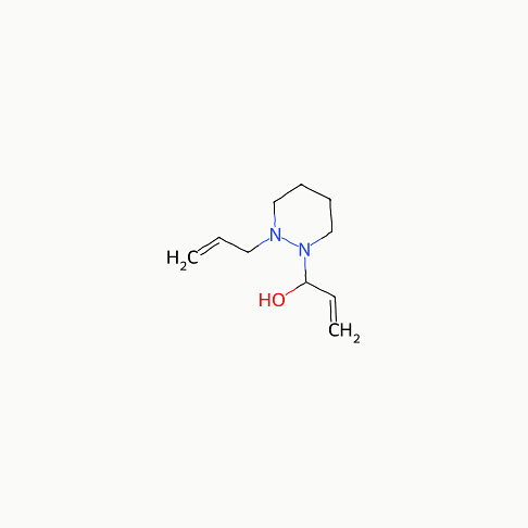 C=CCN1CCCCN1C(O)C=C